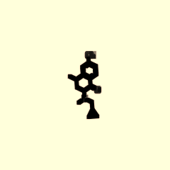 CC1CC(N(C)CC2CC2)C(=O)c2ccc(C#N)cc21